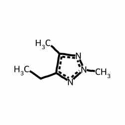 CCc1nn(C)nc1C